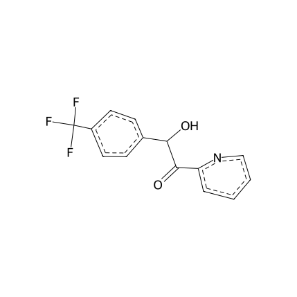 O=C(c1ccccn1)C(O)c1ccc(C(F)(F)F)cc1